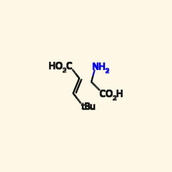 CC(C)(C)C=CC(=O)O.NCC(=O)O